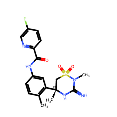 Cc1ccc(NC(=O)c2ccc(F)cn2)cc1[C@]1(C)CS(=O)(=O)N(C)C(=N)N1